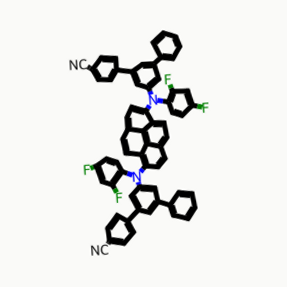 N#Cc1ccc(-c2cc(-c3ccccc3)cc(N(c3ccc(F)cc3F)c3ccc4ccc5c(N(c6cc(-c7ccccc7)cc(-c7ccc(C#N)cc7)c6)c6ccc(F)cc6F)ccc6ccc3c4c65)c2)cc1